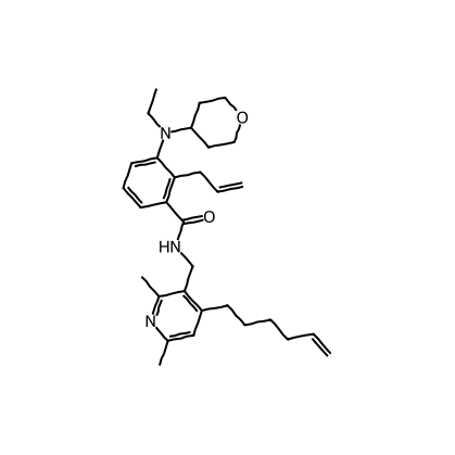 C=CCCCCc1cc(C)nc(C)c1CNC(=O)c1cccc(N(CC)C2CCOCC2)c1CC=C